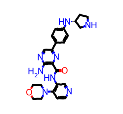 Nc1ncc(-c2ccc(N[C@@H]3CCNC3)cc2)nc1C(=O)Nc1cnccc1N1CCOCC1